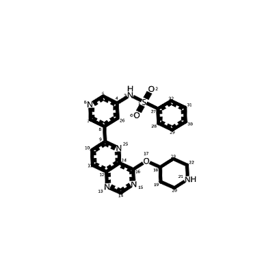 O=S(=O)(Nc1cncc(-c2ccc3ncnc(OC4CCNCC4)c3n2)c1)c1ccccc1